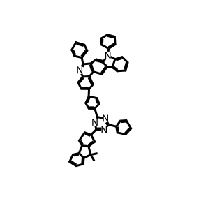 CC1(C)c2ccccc2-c2ccc(-c3nc(-c4ccccc4)nc(-c4ccc(-c5ccc6nc(-c7ccccc7)c7cc8c(cc7c6c5)c5ccccc5n8-c5ccccc5)cc4)n3)cc21